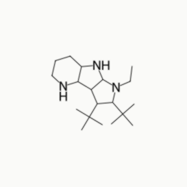 CCN1C2NC3CCCNC3C2C(C(C)(C)C)C1C(C)(C)C